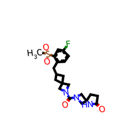 CS(=O)(=O)c1cc(F)ccc1CC1CC2(C1)CN(C(=O)N1CC3(CCC(=O)N3)C1)C2